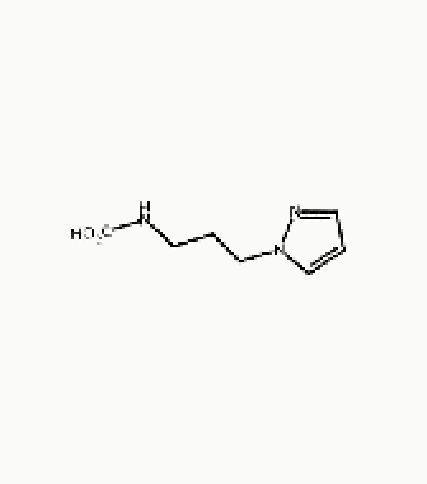 O=C(O)NCCCn1cccn1